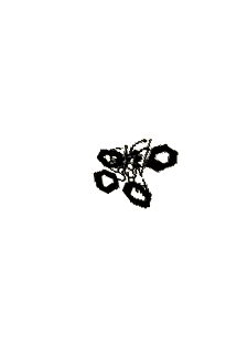 [Cl][Zn]([Cl])([Cl])([Cl])([Cl])([NH]c1ccccc1)[O][Si](c1ccccc1)(c1ccccc1)c1ccccc1